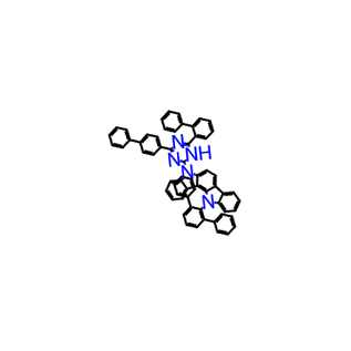 c1ccc(-c2ccc(C3=NC(n4c5ccccc5c5c6c(ccc54)c4ccccc4n6-c4c(-c5ccccc5)cccc4-c4ccccc4)NC(c4ccccc4-c4ccccc4)=N3)cc2)cc1